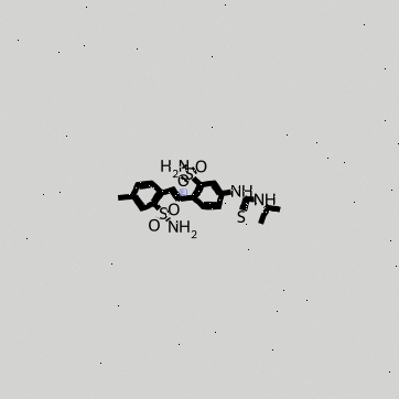 Cc1ccc(/C=C/c2ccc(NC(=S)NC(C)C)cc2S(N)(=O)=O)c(S(N)(=O)=O)c1